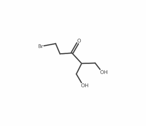 O=C(CCBr)C(CO)CO